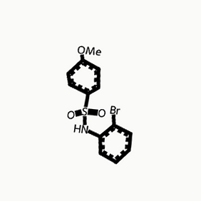 COc1ccc(S(=O)(=O)Nc2ccccc2Br)cc1